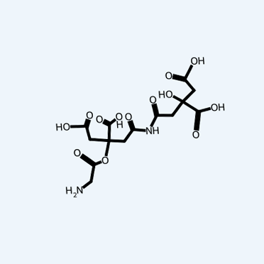 NCC(=O)OC(CC(=O)O)(CC(=O)NC(=O)CC(O)(CC(=O)O)C(=O)O)C(=O)O